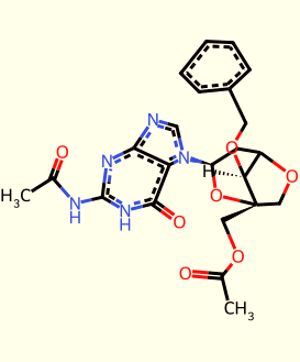 CC(=O)Nc1nc2ncn([C@H]3CC4OC[C@](COC(C)=O)(O3)[C@H]4OCc3ccccc3)c2c(=O)[nH]1